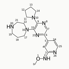 CONc1cc(-c2cnc(N3CCCC3)c(N3CCCNCC3)n2)ccn1